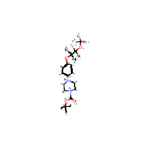 [2H]C([2H])([2H])OC([2H])([2H])C([2H])([2H])Oc1ccc(N2CCN(C(=O)OC(C)(C)C)CC2)cc1